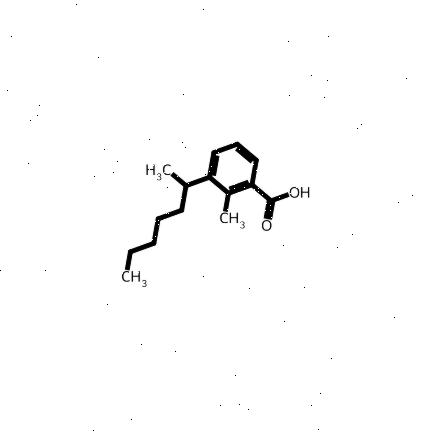 CCCCCC(C)c1cccc(C(=O)O)c1C